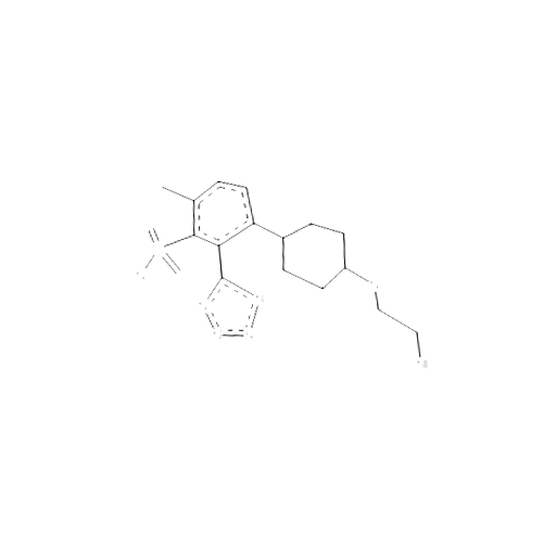 Cc1ccc(C2CCC(NCCN)CC2)c(-c2nnn[nH]2)c1S(N)(=O)=O